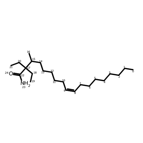 CCCCCCCC/C=C\CCCCCC(C)C(CC)(CC)C(N)=O